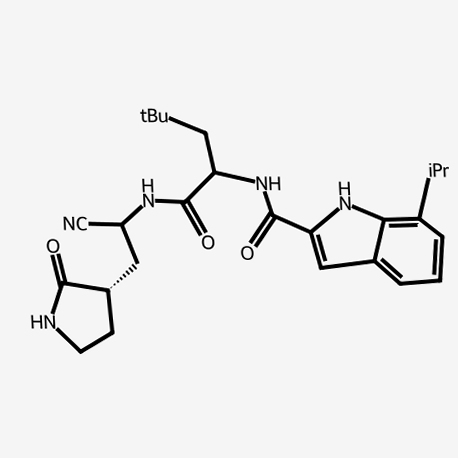 CC(C)c1cccc2cc(C(=O)NC(CC(C)(C)C)C(=O)NC(C#N)C[C@@H]3CCNC3=O)[nH]c12